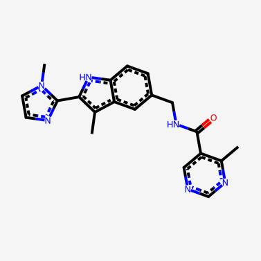 Cc1ncncc1C(=O)NCc1ccc2[nH]c(-c3nccn3C)c(C)c2c1